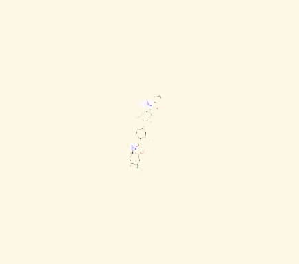 CC(C)C(=O)Nc1ccc(-c2ccc(-c3nc4ccc(Cl)cc4o3)cc2)cc1